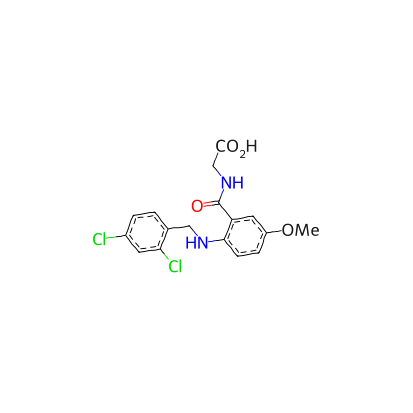 COc1ccc(NCc2ccc(Cl)cc2Cl)c(C(=O)NCC(=O)O)c1